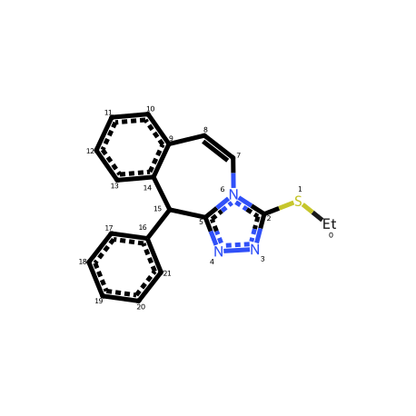 CCSc1nnc2n1C=Cc1ccccc1C2c1ccccc1